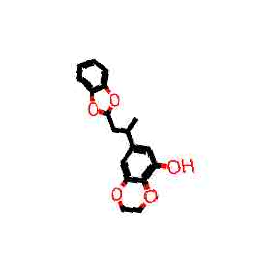 CC(CC1Oc2ccccc2O1)c1cc(O)c2c(c1)OCCO2